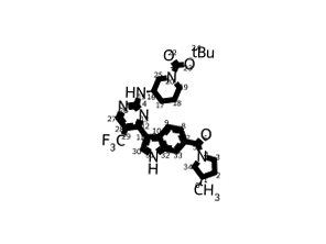 C[C@H]1CCN(C(=O)c2ccc3c(-c4nc(N[C@H]5CCCN(C(=O)OC(C)(C)C)C5)ncc4C(F)(F)F)c[nH]c3c2)C1